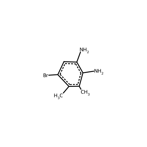 Cc1c(Br)cc(N)c(N)c1C